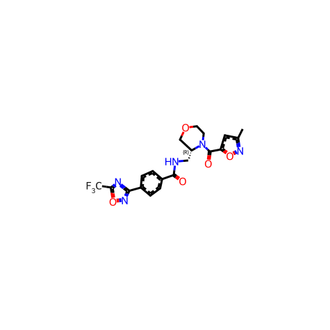 Cc1cc(C(=O)N2CCOC[C@H]2CNC(=O)c2ccc(-c3noc(C(F)(F)F)n3)cc2)on1